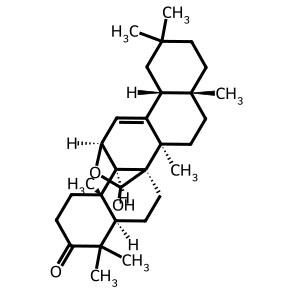 CC1(C)CC[C@]2(C)CC[C@]3(C)C(=C[C@@H]4OC(O)[C@]35CC[C@H]3C(C)(C)C(=O)CC[C@]3(C)[C@@H]45)[C@@H]2C1